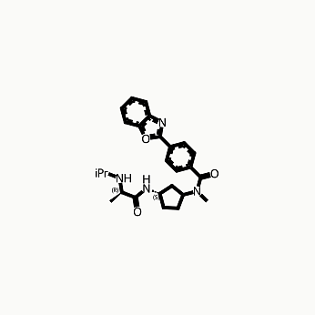 CC(C)N[C@H](C)C(=O)N[C@H]1CCC(N(C)C(=O)c2ccc(-c3nc4ccccc4o3)cc2)C1